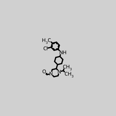 Cc1ccc(NC2CCC(C3CN(C=O)CCN3C(C)C)CC2)cc1Cl